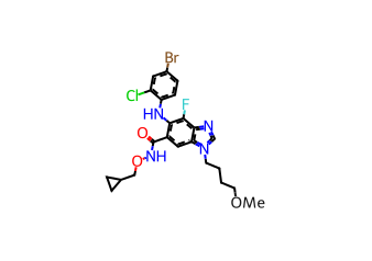 COCCCCn1cnc2c(F)c(Nc3ccc(Br)cc3Cl)c(C(=O)NOCC3CC3)cc21